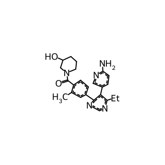 CCc1ncnc(-c2ccc(C(=O)N3CCCC(O)C3)c(C)c2)c1-c1ccc(N)nc1